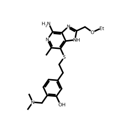 CCOCc1nc2c(N)nc(C)c(SCCc3ccc(CN(C)C)c(O)c3)c2[nH]1